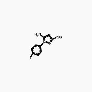 CC(C)(C)c1cc(N)n(-c2ccc(I)cc2)n1